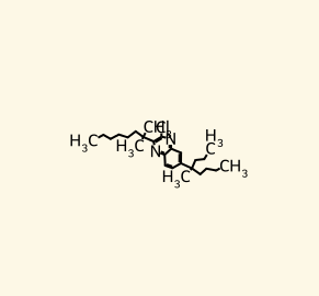 CCCCCCC(C)(C)c1nc2ccc(C(C)(CCC)CCCC)cc2nc1Cl